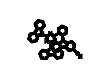 N#Cc1ccc2c(c1)c1ccccc1n2-c1ccccc1-c1nc(-n2c3ccccc3c3ccccc32)nc(-n2c3ccccc3c3ccccc32)n1